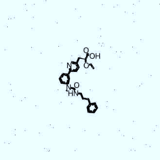 CCO[C@@H](Cc1ccc(-c2cccc(N(C)C(=O)NCCCc3ccccc3)c2)nc1)C(=O)O